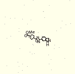 COC(=O)N1CCC(c2nc(-c3ccc4cn[nH]c4c3)no2)CC1